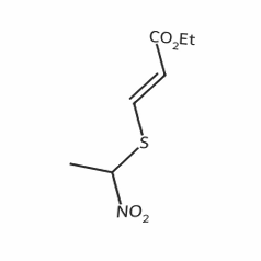 CCOC(=O)C=CSC(C)[N+](=O)[O-]